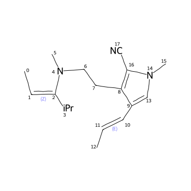 C/C=C(/C(C)C)N(C)CCc1c(/C=C/C)cn(C)c1C#N